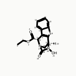 CCOC(=O)[C@@H]1c2c(sc3ccccc23)[C@@H]2CN1C(=O)N2O